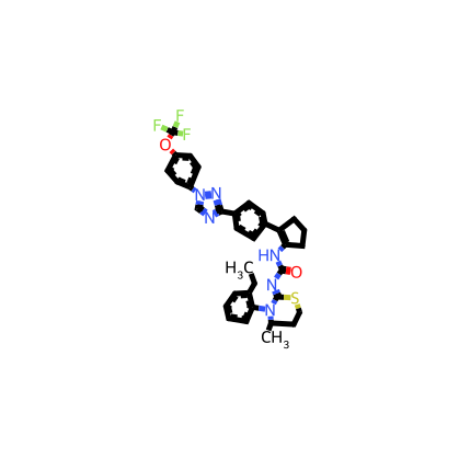 CCc1ccccc1N1/C(=N/C(=O)NC2=C(c3ccc(-c4ncn(-c5ccc(OC(F)(F)F)cc5)n4)cc3)CCC2)SCCC1C